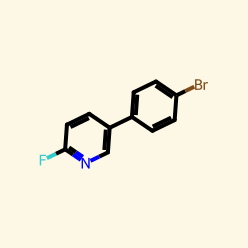 Fc1ccc(-c2ccc(Br)cc2)cn1